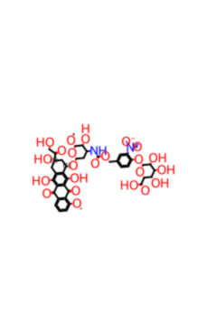 COc1cccc2c1C(=O)c1c(O)c3c(c(O)c1C2=O)C[C@@](O)(C(=O)CO)C[C@@H]3OC1CC(NC(=O)OCc2ccc(OC3OC(C(=O)O)C(O)C(O)C3O)c([N+](=O)[O-])c2)C(O)C(OC)O1